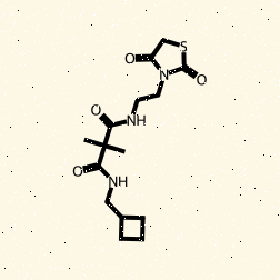 CC(C)(C(=O)NCCN1C(=O)CSC1=O)C(=O)NCC1CCC1